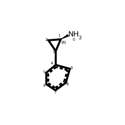 N[C@@H]1CC1c1ccccc1